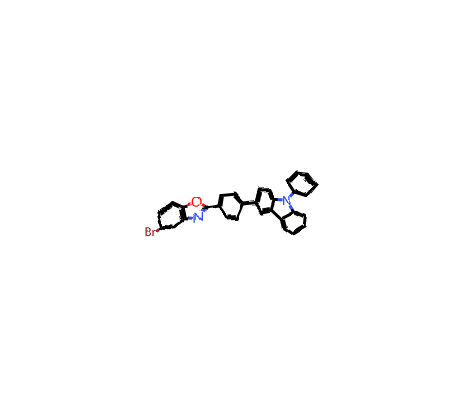 Brc1ccc2oc(-c3ccc(-c4ccc5c(c4)c4ccccc4n5-c4ccccc4)cc3)nc2c1